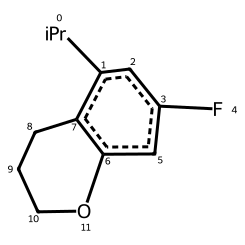 CC(C)c1cc(F)cc2c1CCCO2